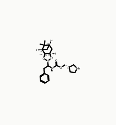 CC1(C)[C@@H]2C[C@H]3OB(C(Cc4ccccc4)NC(=O)OC[C@H]4CCNC4)O[C@@]3(C)[C@H]1C2